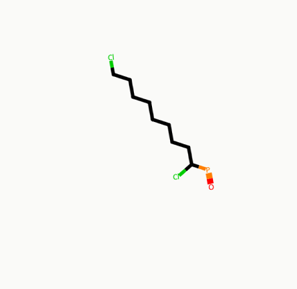 O=PC(Cl)CCCCCCCCCl